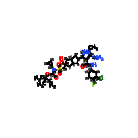 Cn1nc(C2CC3CC(O)(CS(=O)(=O)N(C(=O)OC(C)(C)C)C4CC4)CC3C2)c(C(=O)Nc2ccc(F)c(Cl)c2)c1N